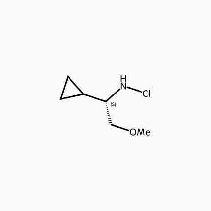 COC[C@@H](NCl)C1CC1